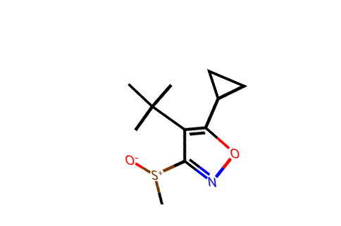 C[S+]([O-])c1noc(C2CC2)c1C(C)(C)C